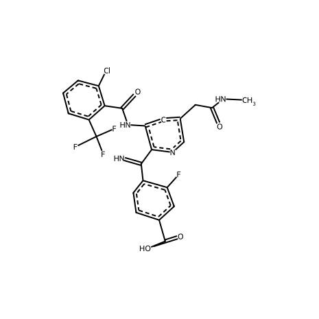 CNC(=O)Cc1cnc(C(=N)c2ccc(C(=O)O)cc2F)c(NC(=O)c2c(Cl)cccc2C(F)(F)F)c1